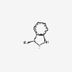 CC(C)(C)N1NNc2ccccc21